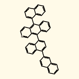 c1ccc2cc(-c3ccc(-c4c5ccccc5c(-c5cccc6ccccc56)c5ccncc45)c4ccccc34)ccc2c1